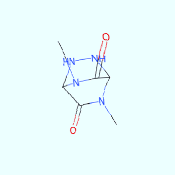 CN1C(=O)C2NNC1C(=O)N2C